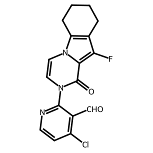 O=Cc1c(Cl)ccnc1-n1ccn2c3c(c(F)c2c1=O)CCCC3